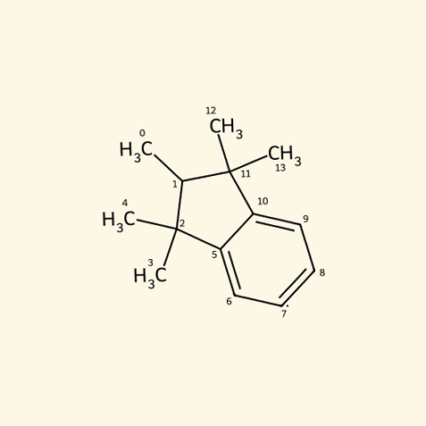 CC1C(C)(C)c2c[c]ccc2C1(C)C